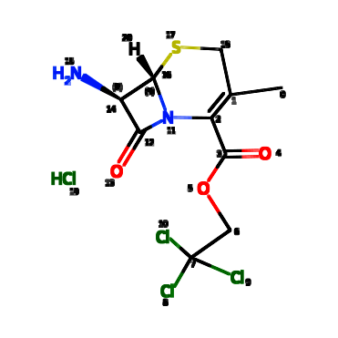 CC1=C(C(=O)OCC(Cl)(Cl)Cl)N2C(=O)[C@@H](N)[C@@H]2SC1.Cl